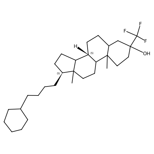 CC12CCC(O)(C(F)(F)F)CC1CC[C@@H]1C2CCC2(C)C1CC[C@@H]2CCCCC1CCCCC1